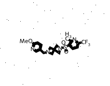 COc1ccc(CN2CC3(C2)CN(S(=O)(=O)c2ccc(C(F)(F)F)nc2C)C3)cn1